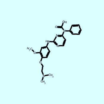 COc1cc(Nc2nccc(N(C(=O)O)c3ccccc3)n2)ccc1OCCN(C)C